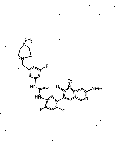 CCn1c(=O)c(-c2cc(NC(=O)Nc3cc(F)cc(CN4CCN(C)CC4)c3)c(F)cc2Cl)cc2cnc(NC)cc21